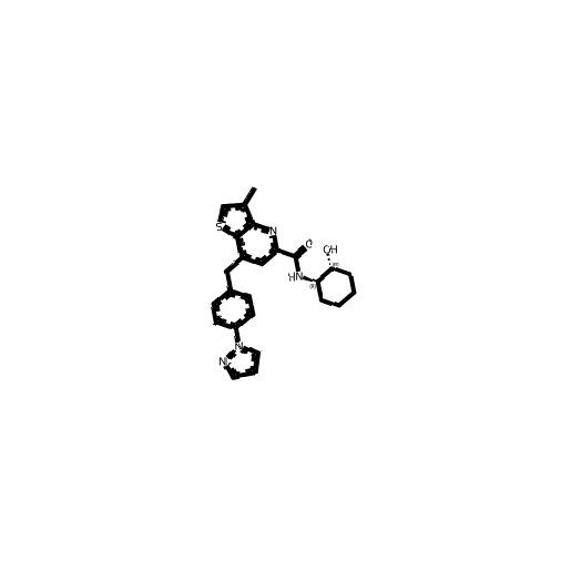 Cc1csc2c(Cc3ccc(-n4cccn4)cc3)cc(C(=O)N[C@@H]3CCCC[C@H]3O)nc12